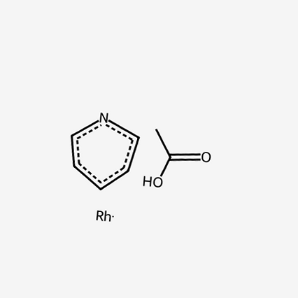 CC(=O)O.[Rh].c1ccncc1